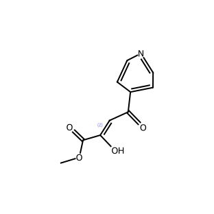 COC(=O)/C(O)=C/C(=O)c1ccncc1